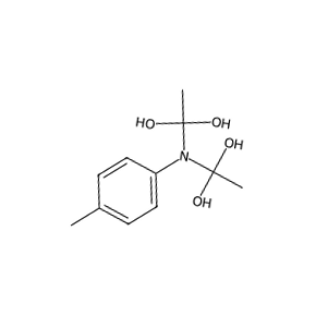 Cc1ccc(N(C(C)(O)O)C(C)(O)O)cc1